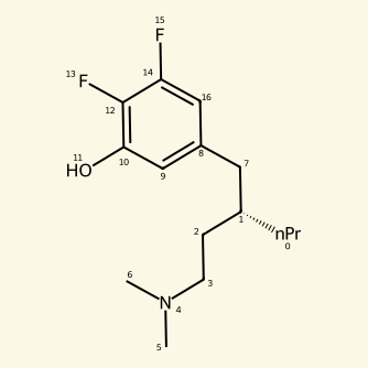 CCC[C@H](CCN(C)C)Cc1cc(O)c(F)c(F)c1